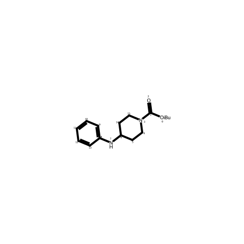 CC(C)COC(=O)N1CCC(Nc2ccccc2)CC1